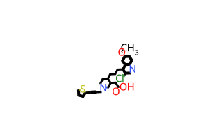 COc1ccc2ncc(Cl)c(CCCC3CCN(CC#Cc4cccs4)CC3CC(=O)O)c2c1